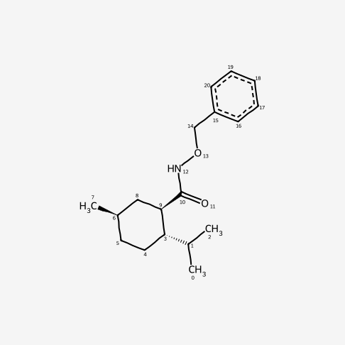 CC(C)[C@@H]1CC[C@@H](C)C[C@H]1C(=O)NOCc1ccccc1